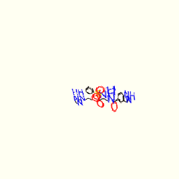 O=C(NCC(NS(=O)(=O)c1ccccc1)C(=O)OCCCNc1ncc[nH]1)c1ccc2[nH]ncc2c1